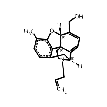 C=CCN1CC[C@]23C4=CC=C(CO)[C@H]2Oc2c(C)ccc(c23)C[C@@H]41